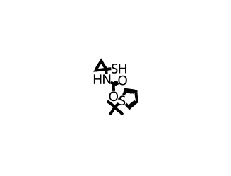 CC(C)(C)S1(OC(=O)NC2(S)CC2)C=CC=C1